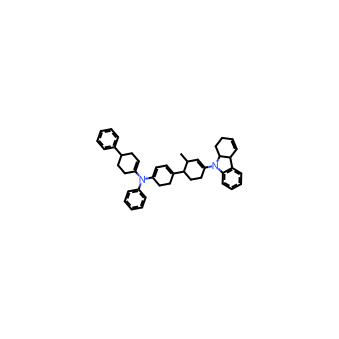 CC1C=C(N2c3ccccc3C3C=CCCC32)CCC1C1=CC=C(N(C2=CCC(c3ccccc3)CC2)c2ccccc2)CC1